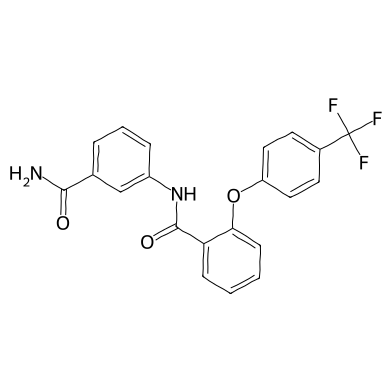 NC(=O)c1cccc(NC(=O)c2ccccc2Oc2ccc(C(F)(F)F)cc2)c1